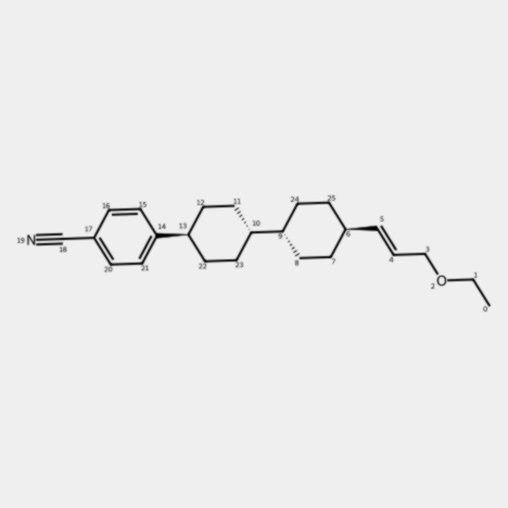 CCOCC=C[C@H]1CC[C@H]([C@H]2CC[C@H](c3ccc(C#N)cc3)CC2)CC1